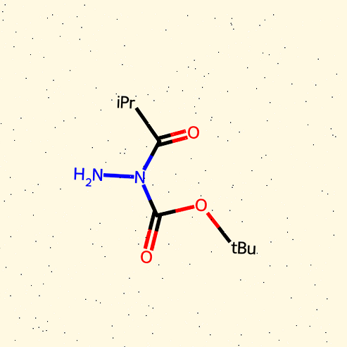 CC(C)C(=O)N(N)C(=O)OC(C)(C)C